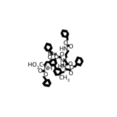 Cc1ccc(-c2ccc(OCc3ccccc3)c(C[C@H](NC(=O)OCc3ccccc3)C(=O)O)c2)cc1C[C@H](NC(=O)[C@H](CCCNC(=O)OCc1ccccc1)NC(=O)OC(C)(C)C)C(=O)OCc1ccccc1